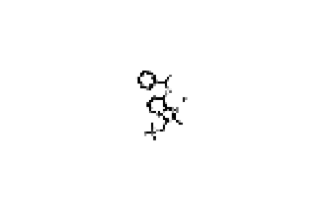 Cc1nc2c(OC(C)c3ccccc3)cccn2c1C[N+](C)(C)C.[I-]